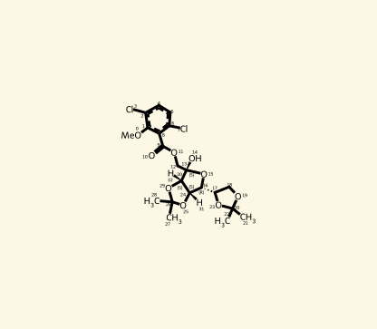 COc1c(Cl)ccc(Cl)c1C(=O)OC[C@]1(O)O[C@H](C2COC(C)(C)O2)[C@@H]2OC(C)(C)O[C@@H]21